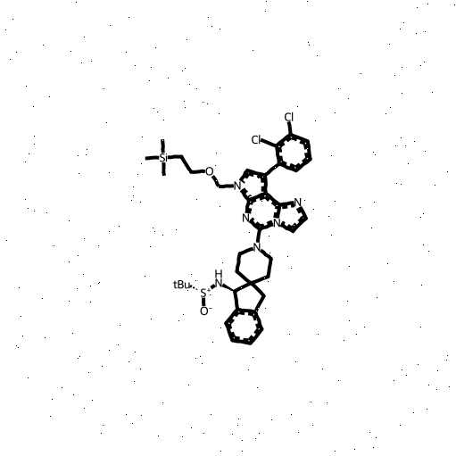 CC(C)(C)[S@@+]([O-])N[C@@H]1c2ccccc2CC12CCN(c1nc3c(c(-c4cccc(Cl)c4Cl)cn3COCC[Si](C)(C)C)c3nccn13)CC2